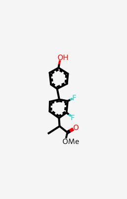 COC(=O)C(C)c1ccc(-c2ccc(O)cc2)c(F)c1F